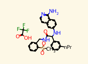 CCCc1cccc(C(Nc2ccc3c(N)nccc3c2)C(=O)NCc2ccccc2S(C)(=O)=O)c1.O=C(O)C(F)(F)F